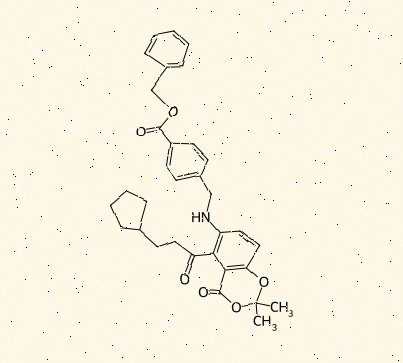 CC1(C)OC(=O)c2c(ccc(NCc3ccc(C(=O)OCc4ccccc4)cc3)c2C(=O)CCC2CCCC2)O1